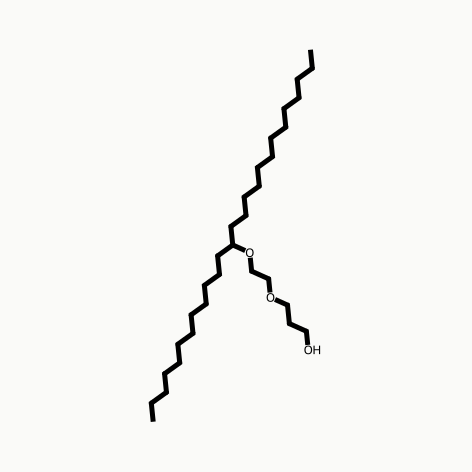 CCCCCCCCCCCCCC(CCCCCCCCCCCC)OCCOCCCO